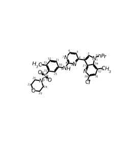 CCCn1cc(-c2ccnc(Nc3ccc(C)c(S(=O)(=O)N4CCOCC4)c3)n2)c2nc(Cl)cc(C)c21